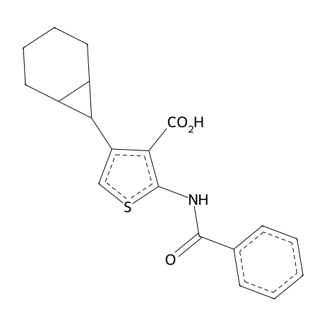 O=C(Nc1scc(C2C3CCCCC32)c1C(=O)O)c1ccccc1